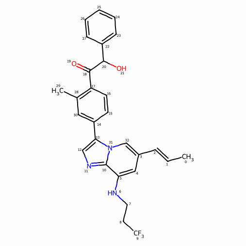 CC=Cc1cc(NCCC(F)(F)F)c2ncc(-c3ccc(C(=O)C(O)c4ccccc4)c(C)c3)n2c1